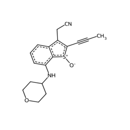 CC#Cc1c(CC#N)c2cccc(NC3CCOCC3)c2[s+]1[O-]